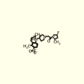 C=N/C=C\c1c(NC2CCN(CC(=O)N3C[C@@H](F)C[C@H]3C)CC2)ccc([N+](=O)[O-])c1C